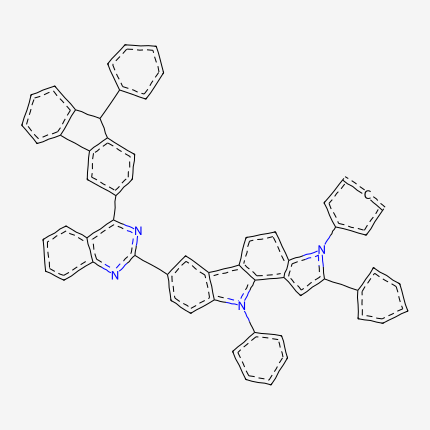 c1ccc(-c2cc3c(ccc4c5cc(-c6nc(-c7ccc8c(c7)-c7ccccc7C8c7ccccc7)c7ccccc7n6)ccc5n(-c5ccccc5)c43)n2-c2ccccc2)cc1